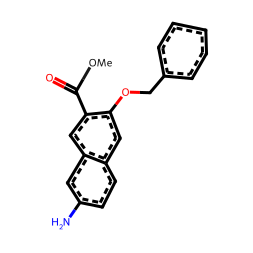 COC(=O)c1cc2cc(N)ccc2cc1OCc1ccccc1